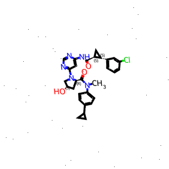 CN(C(=O)[C@H]1C[C@H](O)CN1c1cc(NC(=O)[C@H]2C[C@@H]2c2cccc(Cl)c2)ncn1)c1ccc(C2CC2)cc1